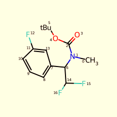 CN(C(=O)OC(C)(C)C)C(c1cccc(F)c1)C(F)F